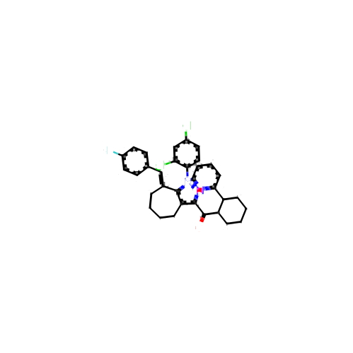 O=C(c1nn(-c2ccc(Cl)cc2Cl)c2c1CCCC/C2=C\c1ccc(F)cc1)C1CCCCC1c1ccccn1